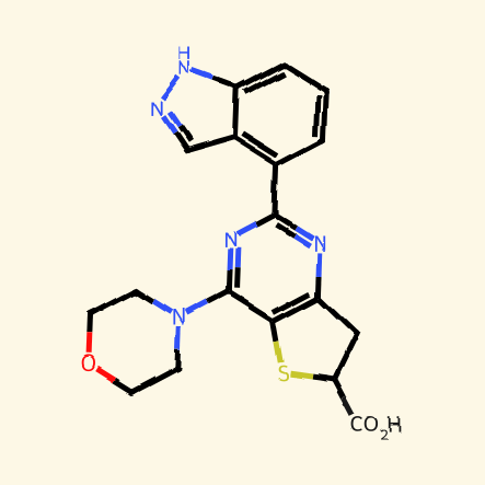 O=C(O)C1Cc2nc(-c3cccc4[nH]ncc34)nc(N3CCOCC3)c2S1